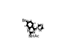 CC(=O)Nc1nc(-n2cncn2)c2ccc(Br)cc2n1